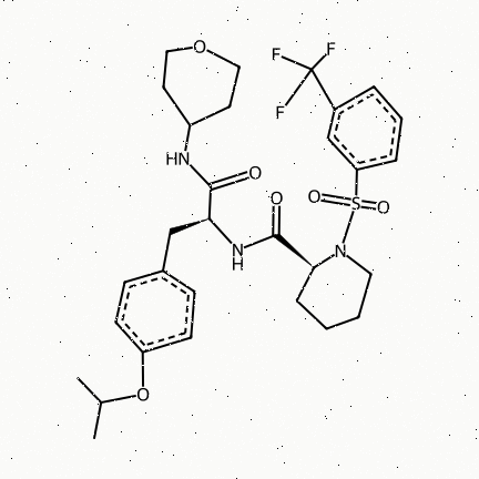 CC(C)Oc1ccc(C[C@H](NC(=O)[C@@H]2CCCCN2S(=O)(=O)c2cccc(C(F)(F)F)c2)C(=O)NC2CCOCC2)cc1